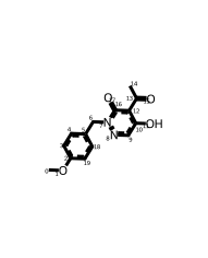 COc1ccc(Cn2ncc(O)c(C(C)=O)c2=O)cc1